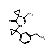 NCc1ccnc(C2(NC(=O)C3(C(N)=O)CC3)CC2)c1